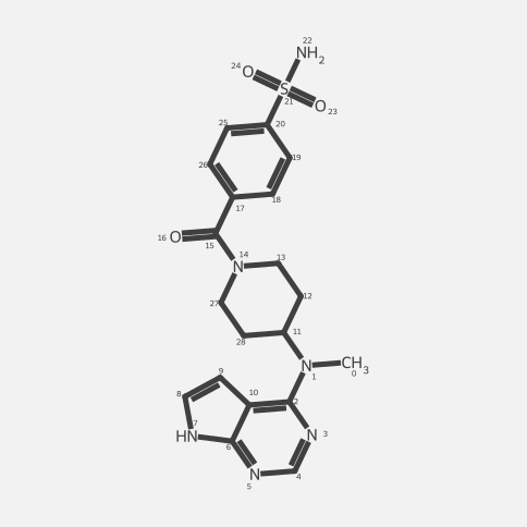 CN(c1ncnc2[nH]ccc12)C1CCN(C(=O)c2ccc(S(N)(=O)=O)cc2)CC1